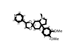 COc1ccc(C23CCN(C)C2CC2(CC3)OCC(c3ccncc3)O2)cc1OC